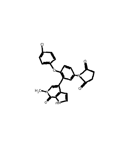 Cn1cc(-c2cc(N3C(=O)CCC3=O)ccc2Oc2ccc(Cl)cc2)c2cc[nH]c2c1=O